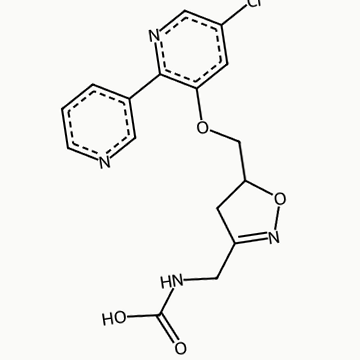 O=C(O)NCC1=NOC(COc2cc(Cl)cnc2-c2cccnc2)C1